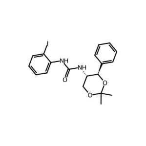 CC1(C)OC[C@H](NC(=O)Nc2ccccc2I)[C@@H](c2ccccc2)O1